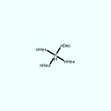 CCCCCCCCCC[PH](CCCCCC)(CCCCCC)CCCCCC